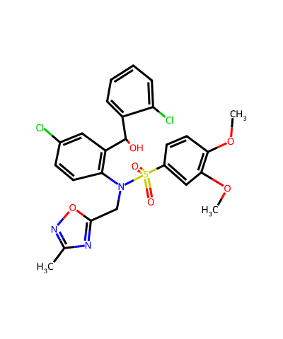 COc1ccc(S(=O)(=O)N(Cc2nc(C)no2)c2ccc(Cl)cc2C(O)c2ccccc2Cl)cc1OC